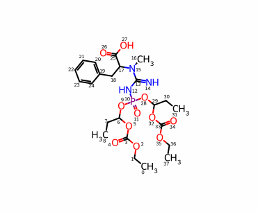 CCOC(=O)OC(CC)OP(=O)(NC(=N)N(C)C(Cc1ccccc1)C(=O)O)OC(CC)OC(=O)OCC